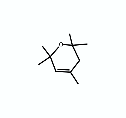 CC1=CC(C)(C)OC(C)(C)C1